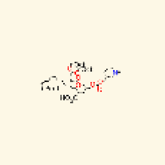 CCCCC/C=C\C/C=C\CCCCCCC(CC(COC(=O)CCC(OCCCCCCCC)OCCCCCCCC)COC(=O)OCC1CCCN(CC)C1)C(=O)O